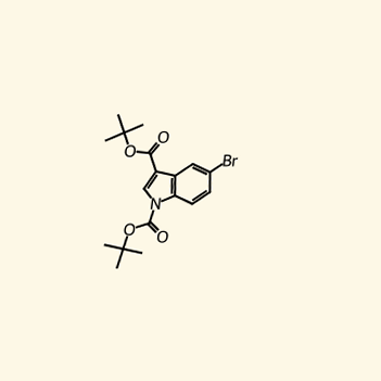 CC(C)(C)OC(=O)c1cn(C(=O)OC(C)(C)C)c2ccc(Br)cc12